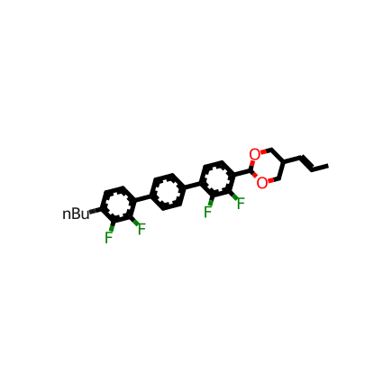 C/C=C/C1COC(c2ccc(-c3ccc(-c4ccc(CCCC)c(F)c4F)cc3)c(F)c2F)OC1